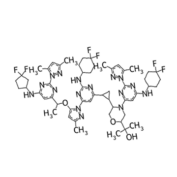 Cc1cc(C)n(-c2nc(NC3CCC(F)(F)C3)cc(C(C)Oc3cc(C)nn3-c3cc(C4CC4C4COC(C(C)(C)O)CN4c4cc(NC5CCC(F)(F)CC5)nc(-n5nc(C)cc5C)n4)nc(NC4CCC(F)(F)CC4)n3)n2)n1